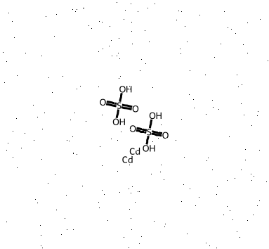 O=S(=O)(O)O.O=S(=O)(O)O.[Cd].[Cd]